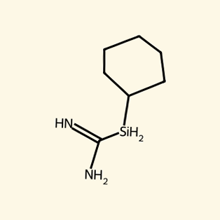 N=C(N)[SiH2]C1CCCCC1